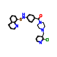 O=C(c1ccc(NSc2cccc3cccnc23)cc1)N1CCN(Cc2cccnc2Cl)CC1